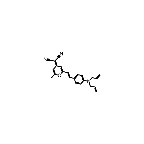 C=CCN(CC=C)c1ccc(C=CC2=CC(=C(C#N)C#N)C=C(C)O2)cc1